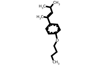 CCCCOc1ccc(/C(C)=C/C(C)C)cc1